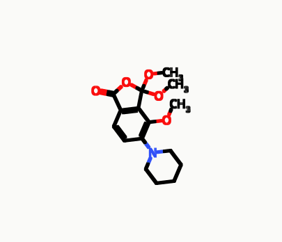 COc1c(N2CCCCC2)ccc2c1C(OC)(OC)OC2=O